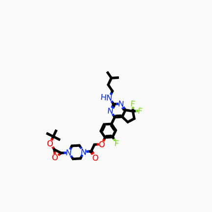 CC(C)CCNc1nc(-c2ccc(OCC(=O)N3CCN(C4OC4OC(C)(C)C)CC3)c(F)c2)c2c(n1)C(F)(F)CC2